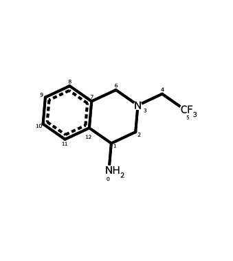 NC1CN(CC(F)(F)F)Cc2ccccc21